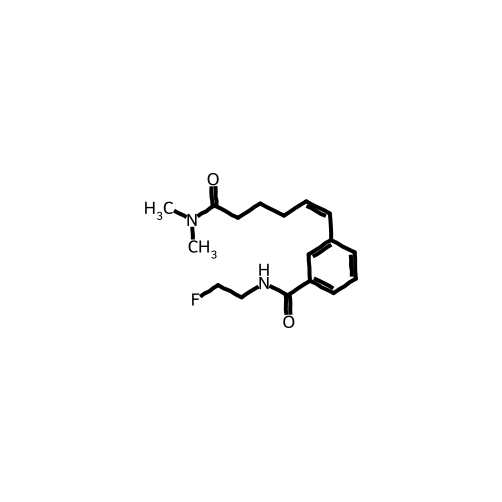 CN(C)C(=O)CCC/C=C\c1cccc(C(=O)NCCF)c1